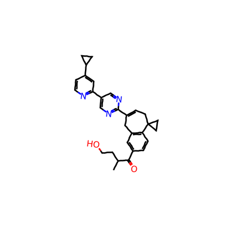 CC(CCO)C(=O)c1ccc2c(c1)CC(c1ncc(-c3cc(C4CC4)ccn3)cn1)=CCC21CC1